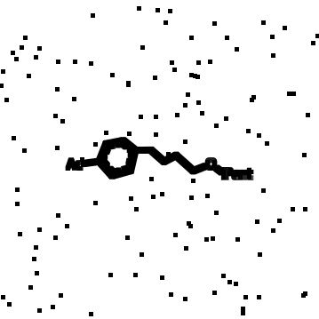 CCCC(C)OCCCCc1ccc(C(C)=O)cc1